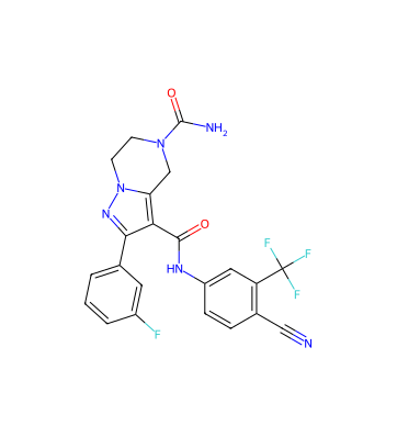 N#Cc1ccc(NC(=O)c2c(-c3cccc(F)c3)nn3c2CN(C(N)=O)CC3)cc1C(F)(F)F